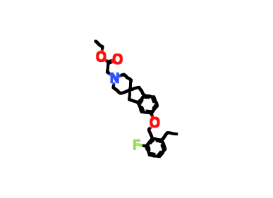 CCOC(=O)CN1CCC2(CC1)Cc1ccc(OCc3c(F)cccc3CC)cc1C2